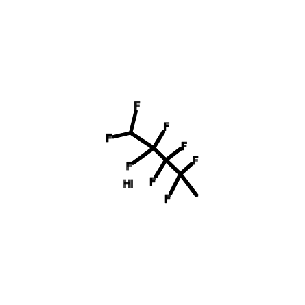 CC(F)(F)C(F)(F)C(F)(F)C(F)F.I